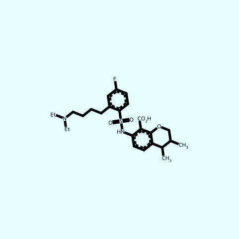 CCN(CC)CCCCc1cc(F)ccc1S(=O)(=O)Nc1ccc2c(c1C(=O)O)OCC(C)C2C